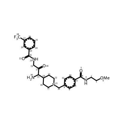 COCCNC(=O)c1ccc(CN2CCC(C(N)C(=O)CNC(=O)c3cccc(C(F)(F)F)c3)CC2)cc1